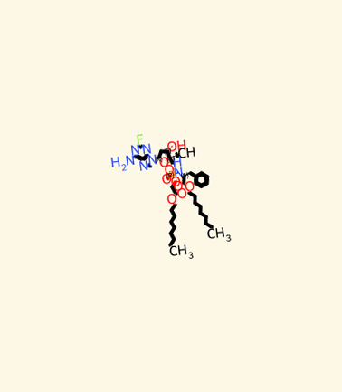 C#C[C@]1(CO[P@](=O)(N[C@@H](Cc2ccccc2)C(=O)OCCCCCCCCC)OCC(=O)OCCCCCCCCC)O[C@@H](n2cnc3c(N)nc(F)nc32)C[C@@H]1O